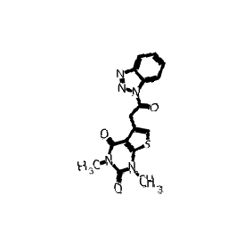 Cn1c(=O)c2c(CC(=O)n3nnc4ccccc43)csc2n(C)c1=O